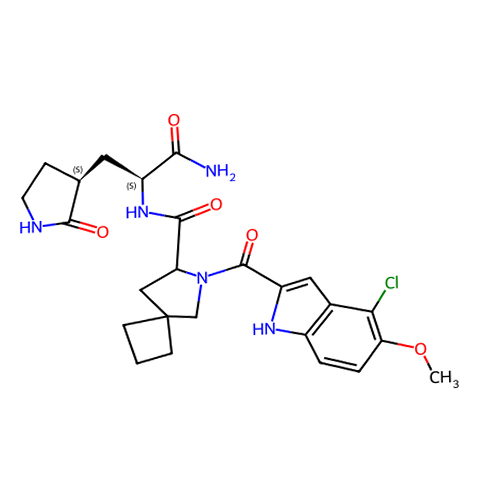 COc1ccc2[nH]c(C(=O)N3CC4(CCC4)CC3C(=O)N[C@@H](C[C@@H]3CCNC3=O)C(N)=O)cc2c1Cl